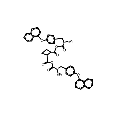 CCCN(Cc1ccc(Oc2cccc3ccccc23)cc1)C(=O)OC(=O)C1CCC1C(=O)OC(=O)N(CCC)Cc1ccc(Oc2cccc3ccccc23)cc1